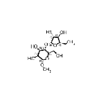 CC[C@H]1O[C@H](O[C@H]2[C@H](O)[C@H](O)[C@@H](OC)O[C@@H]2CO)[C@H](S)[C@H]1O